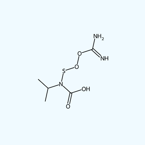 CC(C)N(SOOC(=N)N)C(=O)O